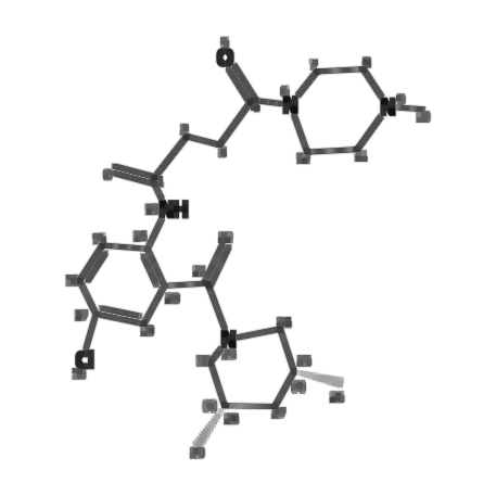 C=C(CCC(=O)N1CCN(C)CC1)Nc1ccc(Cl)cc1C(=C)N1C[C@H](C)C[C@H](C)C1